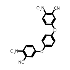 N#Cc1cc(Oc2ccc(Oc3ccc([N+](=O)[O-])c(C#N)c3)cc2)ccc1[N+](=O)[O-]